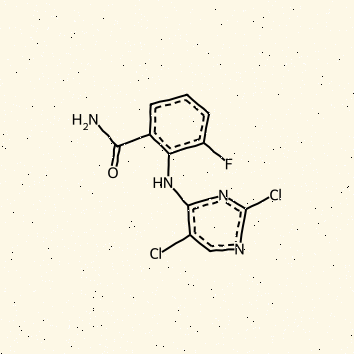 NC(=O)c1cccc(F)c1Nc1nc(Cl)ncc1Cl